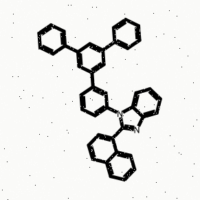 c1ccc(-c2cc(-c3ccccc3)cc(-c3cccc(-n4c(-c5cccc6ccccc56)nc5ccccc54)c3)c2)cc1